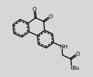 CC(C)(C)C(=O)CNc1ccc2c(c1)C(=O)C(=O)c1ccccc1-2